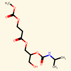 COC(=O)OCCC(=O)OCC(CO)OC(=O)NC(C)C